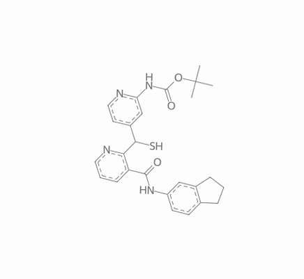 CC(C)(C)OC(=O)Nc1cc(C(S)c2ncccc2C(=O)Nc2ccc3c(c2)CCC3)ccn1